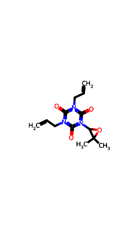 C=CCn1c(=O)n(CC=C)c(=O)n(C2OC2(C)C)c1=O